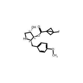 COc1ccc(C[C@H]2NC[C@H](O)[C@H]2OC(=O)C23CC(F)(C2)C3)cc1